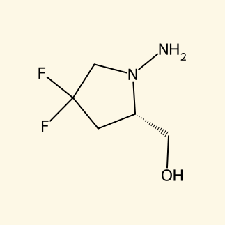 NN1CC(F)(F)C[C@H]1CO